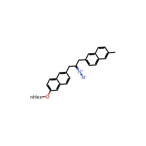 CCCCCCOc1ccc2cc(CC(Cc3ccc4cc(C)ccc4c3)=[N+]=[N-])ccc2c1